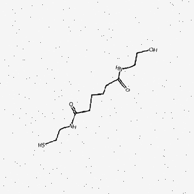 O=C(CCCCC(=O)NCCS)NCCO